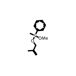 C=C(C)CO[Si](C)(OC)c1ccccc1